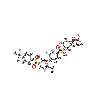 C\C=C(/C=C\C(=C/C)S(=O)(=O)c1ccc(C(C)(C)C)cc1)Oc1ccc(S(=O)(=O)c2ccc(OC(C)(C)C)cc2)cc1